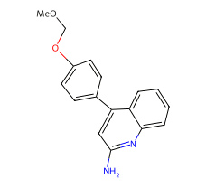 COCOc1ccc(-c2cc(N)nc3ccccc23)cc1